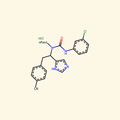 CCCCCN(C(=O)Nc1cccc(Cl)c1)C(Cc1ccc(C#N)cc1)c1cnc[nH]1.Cl